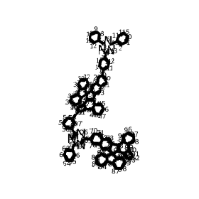 c1ccc(-c2nc(-c3ccccc3)nc(-c3ccc(-c4ccc5cc6c(cc5c4)C4(c5ccccc5-c5ccccc54)c4c-6c5ccccc5c5cc(-c6cccc(-c7nc(-c8ccccc8)nc(-c8ccc9cc%10c(cc9c8)C8(c9ccccc9-c9ccccc98)c8c-%10c9ccccc9c9ccccc89)n7)c6)ccc45)cc3)n2)cc1